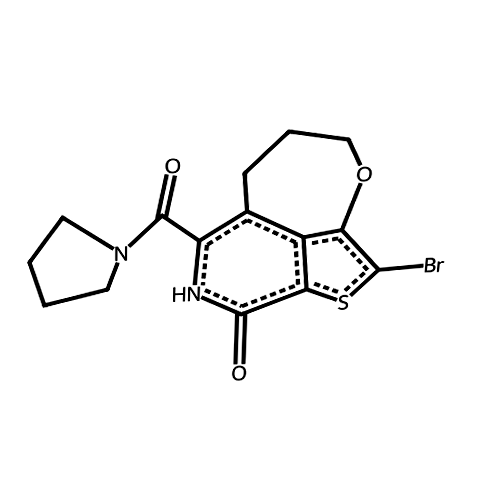 O=C(c1[nH]c(=O)c2sc(Br)c3c2c1CCCO3)N1CCCC1